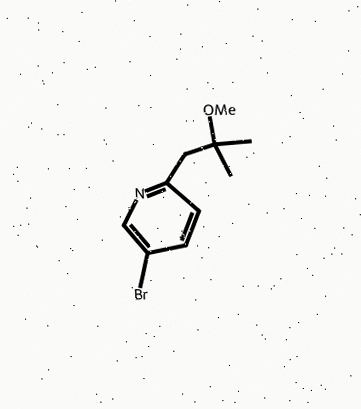 COC(C)(C)Cc1ccc(Br)cn1